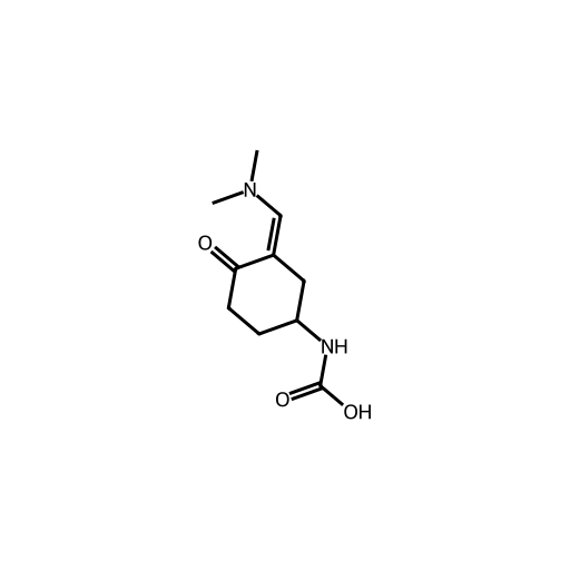 CN(C)/C=C1/CC(NC(=O)O)CCC1=O